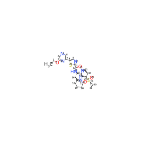 CCOc1cncc(-c2cnc(C(=O)N[C@@H](C[C@@H]3CCCCN3)c3cc(S(=O)(=O)C4CC4)ccn3)s2)n1